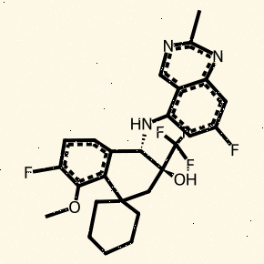 COc1c(F)ccc2c1C1(CCCCC1)C[C@@](O)(C(F)(F)F)[C@H]2Nc1cc(F)cc2nc(C)ncc12